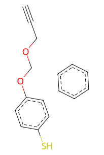 C#CCOCOc1ccc(S)cc1.c1ccccc1